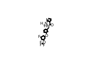 Nc1ncccc1C(=O)NCc1cccc(Oc2cc(F)cc(OC(F)(F)F)c2)c1